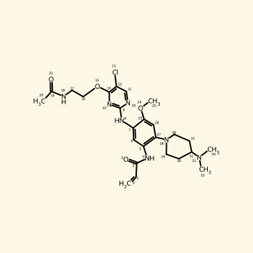 C=CC(=O)Nc1cc(Nc2ncc(Cl)c(OCCNC(C)=O)n2)c(OC)cc1N1CCC(N(C)C)CC1